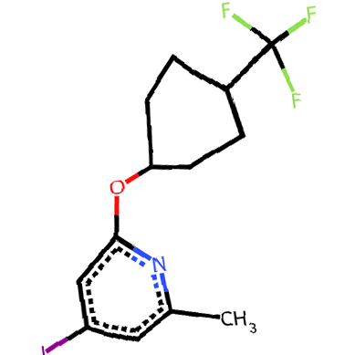 Cc1cc(I)cc(OC2CCC(C(F)(F)F)CC2)n1